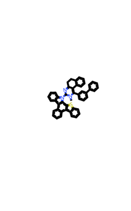 CN1C(c2cccc(-c3ccccc3)c2)=C2C(=NC1n1c3ccccc3c3c4ccccc4c4c5ccccc5sc4c31)CCc1ccccc12